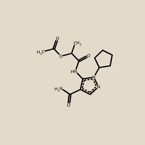 CC(=O)OC(C)C(=O)Nc1c(C(N)=O)cnn1C1CCCC1